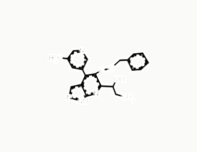 CCC(O)c1nc2[nH]ncc2c(-c2cncc(C)c2)c1COCc1ccccc1